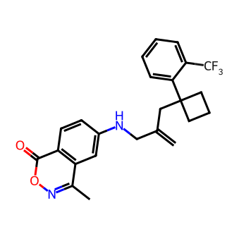 C=C(CNc1ccc2c(=O)onc(C)c2c1)CC1(c2ccccc2C(F)(F)F)CCC1